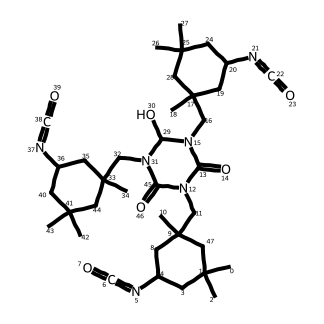 CC1(C)CC(N=C=O)CC(C)(CN2C(=O)N(CC3(C)CC(N=C=O)CC(C)(C)C3)C(O)N(CC3(C)CC(N=C=O)CC(C)(C)C3)C2=O)C1